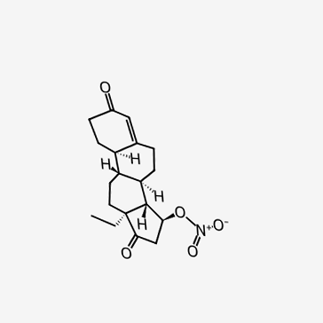 CC[C@]12CC[C@H]3[C@@H](CCC4=CC(=O)CC[C@@H]43)[C@@H]1[C@@H](O[N+](=O)[O-])CC2=O